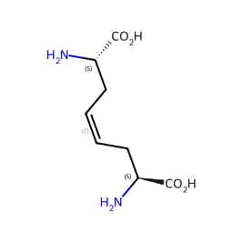 N[C@@H](C/C=C\C[C@H](N)C(=O)O)C(=O)O